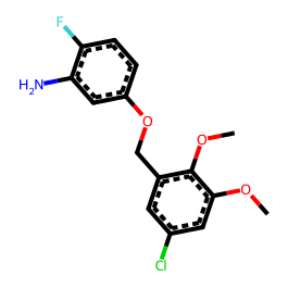 COc1cc(Cl)cc(COc2ccc(F)c(N)c2)c1OC